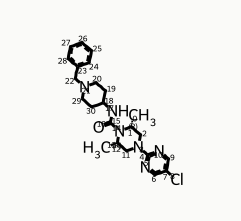 C[C@@H]1CN(c2ncc(Cl)cn2)C[C@@H](C)N1C(=O)NC1CCN(Cc2ccccc2)CC1